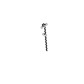 CCCCCCCCCCCCOC(=O)CCCCCN1C(=O)CCC1=O